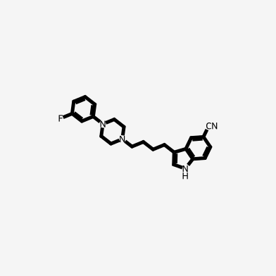 N#Cc1ccc2[nH]cc(CCCCN3CCN(c4cccc(F)c4)CC3)c2c1